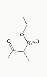 CCO[PH](=O)C(C)C(C)=O